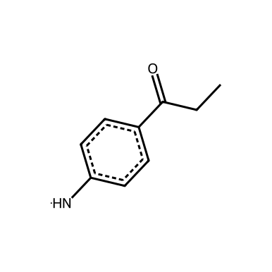 CCC(=O)c1ccc([NH])cc1